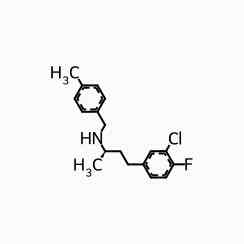 Cc1ccc(CN[C@H](C)CCc2ccc(F)c(Cl)c2)cc1